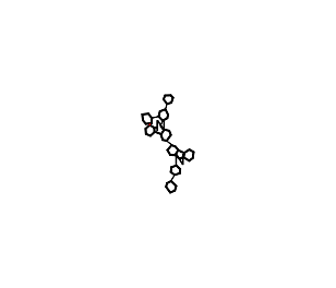 c1ccc(-c2ccc(-n3c4ccccc4c4cc(-c5ccc6c(c5)c5ccccc5n6-c5ccc(-c6ccccc6)cc5-c5ccccc5)ccc43)cc2)cc1